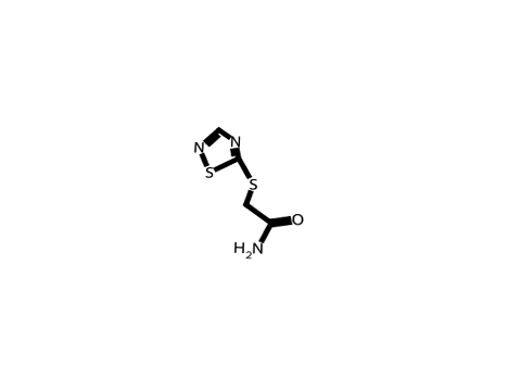 NC(=O)CSc1ncns1